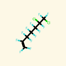 FC(F)=C(F)C(F)(F)C(F)(F)C(F)(F)C(F)(Cl)C(F)(F)Cl